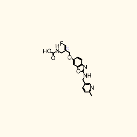 Cc1ccc(CNc2nc3ccc(OC/C(=C/F)CNC(=O)O)cc3o2)cn1